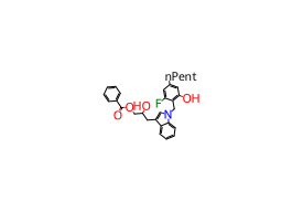 CCCCCc1cc(O)c(Cn2cc(C[C@H](O)COC(=O)c3ccccc3)c3ccccc32)c(F)c1